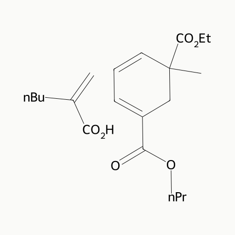 C=C(CCCC)C(=O)O.CCCOC(=O)C1=CC=CC(C)(C(=O)OCC)C1